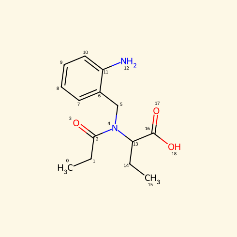 CCC(=O)N(Cc1ccccc1N)C(CC)C(=O)O